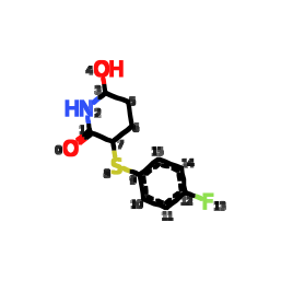 O=C1NC(O)CCC1Sc1ccc(F)cc1